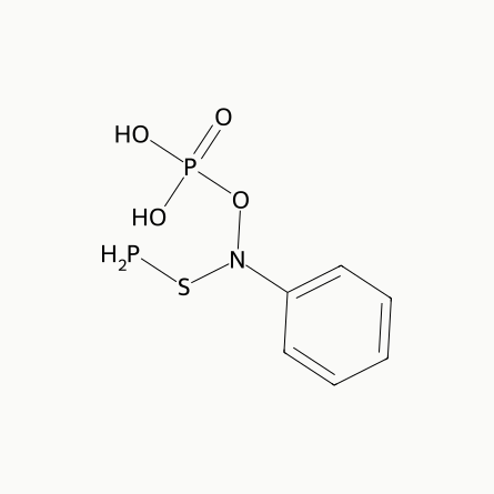 O=P(O)(O)ON(SP)c1ccccc1